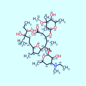 CC[C@@H](O)[C@@](C)(O)[C@@H]1OC(=O)[C@H](C)[C@@H](O[C@H]2CC(C)(OC)[C@@H](O)C(C)O2)[C@H](C)[C@@H](O[C@@H]2OC(C)CC(N(C)CC)C2O)[C@@]2(C)CC(C)C(O2)[C@@H]1C